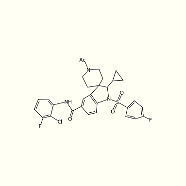 CC(=O)N1CCC2(CC1)c1cc(C(=O)Nc3cccc(F)c3Cl)ccc1N(S(=O)(=O)c1ccc(F)cc1)C2C1CC1